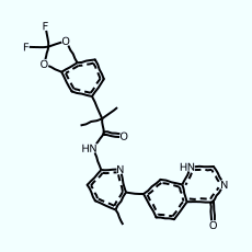 Cc1ccc(NC(=O)C(C)(C)c2ccc3c(c2)OC(F)(F)O3)nc1-c1ccc2c(=O)nc[nH]c2c1